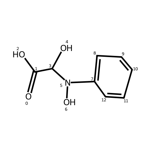 O=C(O)C(O)N(O)c1ccccc1